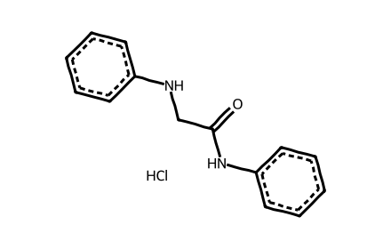 Cl.O=C(CNc1ccccc1)Nc1ccccc1